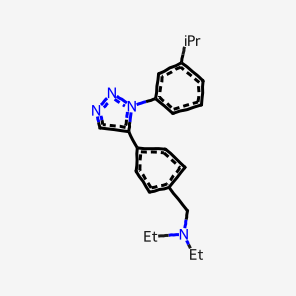 CCN(CC)Cc1ccc(-c2cnnn2-c2cccc(C(C)C)c2)cc1